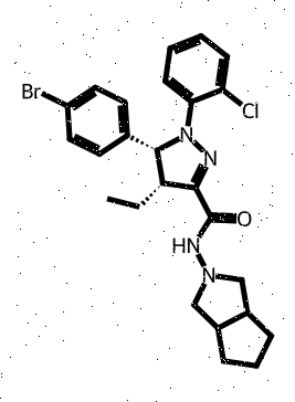 CC[C@H]1C(C(=O)NN2CC3CCCC3C2)=NN(c2ccccc2Cl)[C@H]1c1ccc(Br)cc1